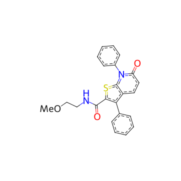 COCCNC(=O)c1sc2c(ccc(=O)n2-c2ccccc2)c1-c1ccccc1